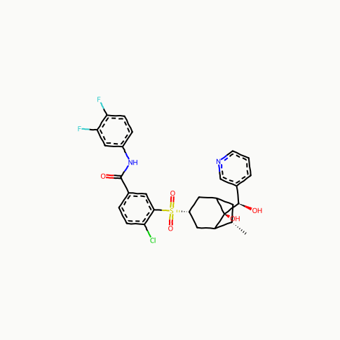 C[C@H]1CC2C[C@@H](S(=O)(=O)c3cc(C(=O)Nc4ccc(F)c(F)c4)ccc3Cl)CC1[C@@]2(O)[C@H](O)c1cccnc1